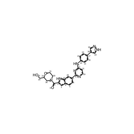 O=C(c1cc2ccc(-c3nccc(Nc4ccc(-c5cn[nH]c5)cc4)n3)cc2[nH]1)N1CCOC(CO)C1